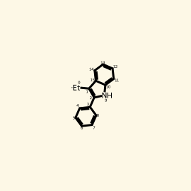 C[CH]c1c(-c2ccccc2)[nH]c2ccccc12